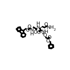 NC(=O)CC[C@H](NC(=O)CNC(=O)OCC1C2=C(C=CCC2)c2ccccc21)C(=O)NCOCC(=O)OCc1ccccc1